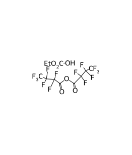 CCOC(=O)O.O=C(OC(=O)C(F)(F)C(F)(F)C(F)(F)F)C(F)(F)C(F)(F)C(F)(F)F